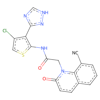 N#Cc1cccc2ccc(=O)n(CC(=O)Nc3scc(Cl)c3-c3nc[nH]n3)c12